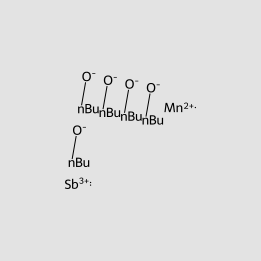 CCCC[O-].CCCC[O-].CCCC[O-].CCCC[O-].CCCC[O-].[Mn+2].[Sb+3]